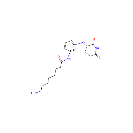 NCCCCCCCC(=O)Nc1cccc(NC2CCC(=O)NC2=O)c1